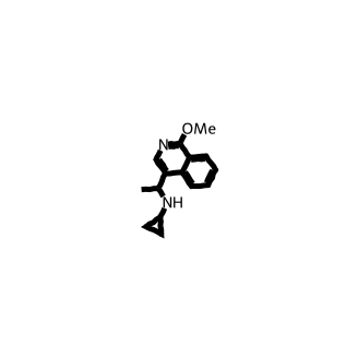 COc1ncc(C(C)NC2CC2)c2ccccc12